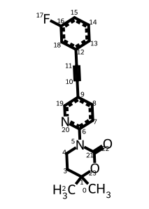 CC1(C)CCN(c2ccc(C#Cc3cccc(F)c3)cn2)C(=O)O1